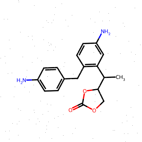 CC(c1cc(N)ccc1Cc1ccc(N)cc1)C1COC(=O)O1